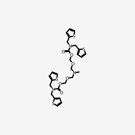 CN(COCOC(=O)N(Cc1cccs1)Cc1cccs1)COCOC(=O)N(Cc1cccs1)Cc1cccs1